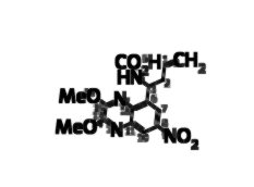 C=CCC(NC(=O)O)c1cc([N+](=O)[O-])cc2nc(OC)c(OC)nc12